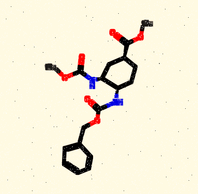 CC(C)(C)OC(=O)N[C@@H]1C[C@@H](C(=O)OC(C)(C)C)CC[C@@H]1NC(=O)OCc1ccccc1